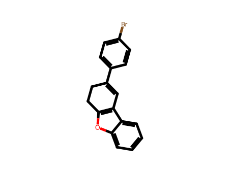 Brc1ccc(C2=Cc3c(oc4ccccc34)CC2)cc1